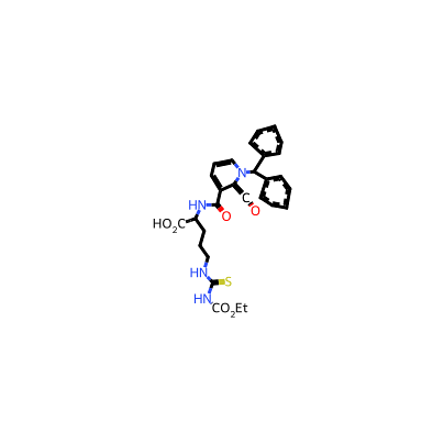 CCOC(=O)NC(=S)NCCCC(NC(=O)C1=CC=CN(C(c2ccccc2)c2ccccc2)C1=C=O)C(=O)O